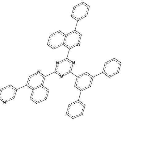 c1ccc(-c2cc(-c3ccccc3)cc(-c3nc(-c4ncc(-c5ccccc5)c5ccccc45)nc(-c4ncc(-c5cccnc5)c5ccccc45)n3)c2)cc1